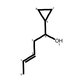 CC=CCC(O)C1CC1